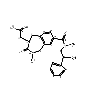 CN(CC(O)c1ccccc1)C(=O)c1ccc2c(c1)CN(C)C(=O)C(CC(=O)O)C2